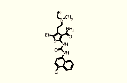 CCc1sc(NC(=O)Nc2ccc(Cl)c3ccccc23)c(C(N)=O)c1CCN(C)CC(C)C